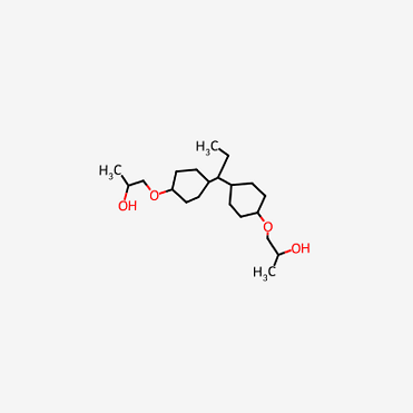 CCC(C1CCC(OCC(C)O)CC1)C1CCC(OCC(C)O)CC1